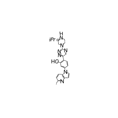 Cc1ccc2c(ccn2-c2ccc(-c3cnc(N4CCN[C@@H](C(C)C)C4)nn3)c(O)c2)n1